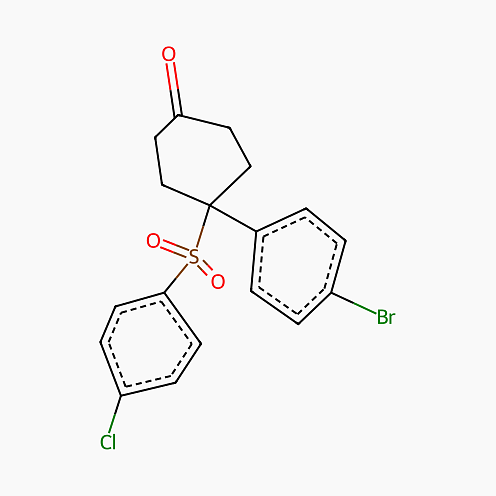 O=C1CCC(c2ccc(Br)cc2)(S(=O)(=O)c2ccc(Cl)cc2)CC1